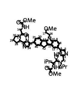 CCCN(Cc1ncc(-c2ccc3c(c2)c2c(n3CCOC)-c3ccc(-c4cnc(C5CCCN5C(=O)CNC(=O)OC)[nH]4)cc3C2)[nH]1)C(=O)C(NC(=O)OC)C(C)C